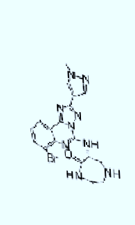 Cn1cc(-c2nc3c4cccc(Br)c4nc(N[C@@H]4CNCCNC4=O)n3n2)cn1